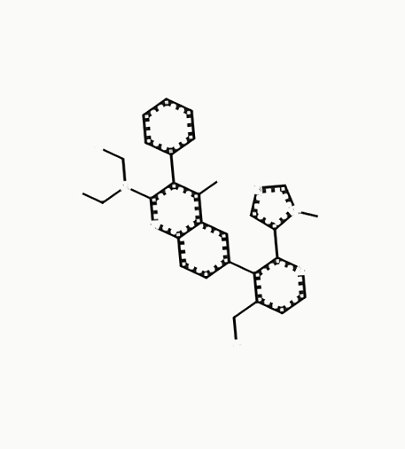 CCN(CC)c1nc2ccc(-c3c(CO)ccnc3-c3cncn3C)cc2c(C)c1-c1ccccc1